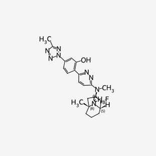 Cc1nnn(-c2ccc(-c3ccc(N(C)[C@@H]4C[C@@]5(C)CCC[C@@H]([C@H]4F)N5C)nn3)c(O)c2)n1